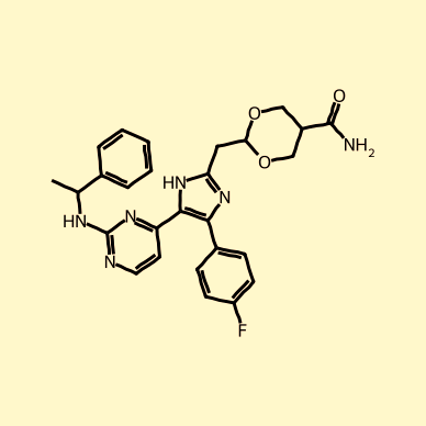 CC(Nc1nccc(-c2[nH]c(CC3OCC(C(N)=O)CO3)nc2-c2ccc(F)cc2)n1)c1ccccc1